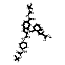 COC(=O)c1cc2c(Cn3c(C(=O)N[C@H]4CC[C@H](NC(=O)OC(C)(C)C)CC4)cc4ccc(C(=N)NC(=O)OC(C)(C)C)cc43)cccc2s1